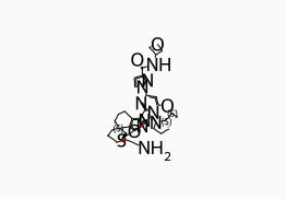 C[C@H](Oc1cc(-n2ccc(C(=O)NC3COC3)n2)nc(-c2noc3c2CCC[C@@]32CCCc3sc(N)c(C#N)c32)n1)[C@@H]1CCCN1C